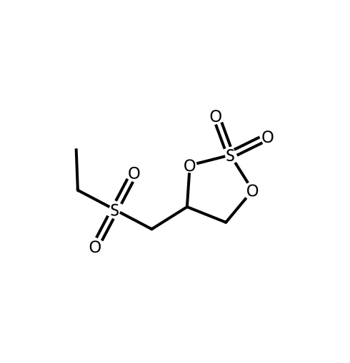 CCS(=O)(=O)CC1COS(=O)(=O)O1